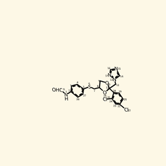 O=CNc1ccc(SCC2COC(Cn3cncn3)(c3ccc(Cl)cc3Cl)O2)cc1